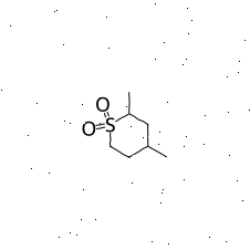 CC1CCS(=O)(=O)C(C)C1